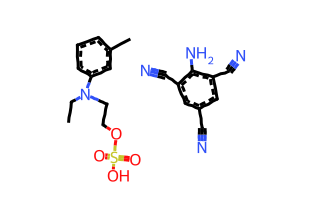 CCN(CCOS(=O)(=O)O)c1cccc(C)c1.N#Cc1cc(C#N)c(N)c(C#N)c1